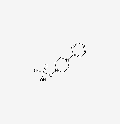 O=P(O)(Cl)ON1CCN(c2ccccc2)CC1